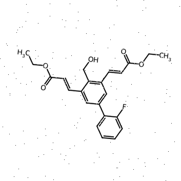 CCOC(=O)C=Cc1cc(-c2ccccc2F)cc(C=CC(=O)OCC)c1CO